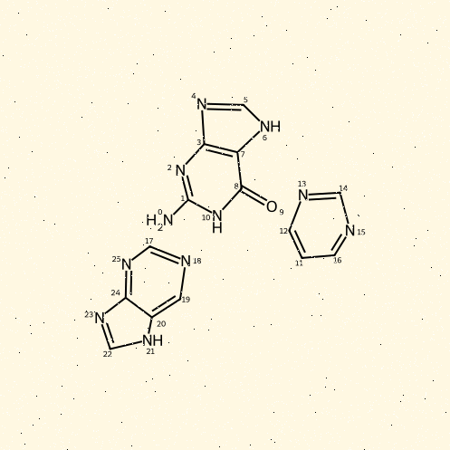 Nc1nc2nc[nH]c2c(=O)[nH]1.c1cncnc1.c1ncc2[nH]cnc2n1